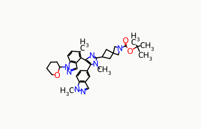 Cc1ccc2c(cnn2C2CCCCO2)c1-c1nc(C2CC3(C2)CN(C(=O)OC(C)(C)C)C3)n(C)c1-c1ccc2c(cnn2C)c1